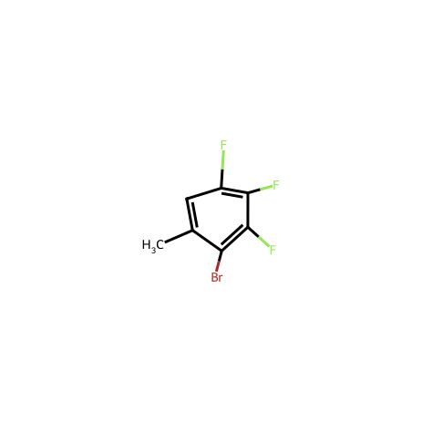 Cc1cc(F)c(F)c(F)c1Br